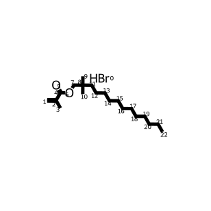 Br.C=C(C)C(=O)OCC(C)(C)CCCCCCCCCCCC